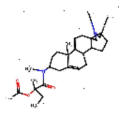 CCC(C)(OC(C)=O)C(=O)N(C)C1CCC2(C)C(=CCC3C2CCC24CN(C)C(C)C2CCC34)C1